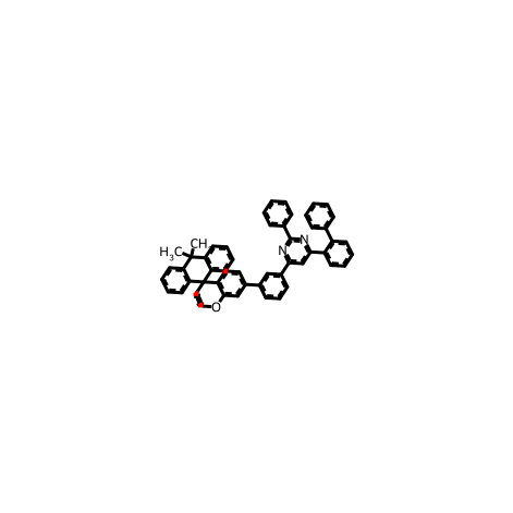 CC1(C)c2ccccc2C2(c3ccccc3Oc3cc(-c4cccc(-c5cc(-c6ccccc6-c6ccccc6)nc(-c6ccccc6)n5)c4)ccc32)c2ccccc21